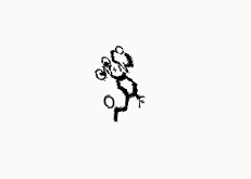 CC(=O)Cc1cc([N+](=O)[O-])c(N2CCOCC2)cc1F